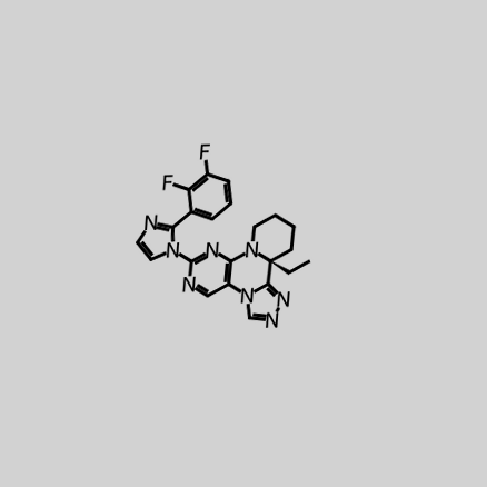 CC[C@]12CCCCN1c1nc(-n3ccnc3-c3cccc(F)c3F)ncc1-n1cnnc12